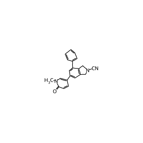 Cn1cc(-c2cc3c(c(-c4ccccc4)c2)CN(C#N)C3)ccc1=O